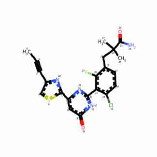 CC#Cc1csc(-c2cc(=O)[nH]c(-c3c(Cl)ccc(CC(C)(C)C(N)=O)c3F)n2)n1